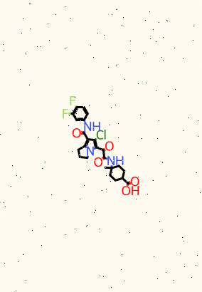 CC1(NC(=O)C(=O)c2c(Cl)c(C(=O)Nc3ccc(F)c(F)c3)c3n2CCC3)CCC(C(=O)O)CC1